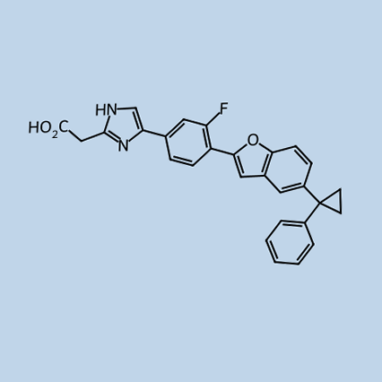 O=C(O)Cc1nc(-c2ccc(-c3cc4cc(C5(c6ccccc6)CC5)ccc4o3)c(F)c2)c[nH]1